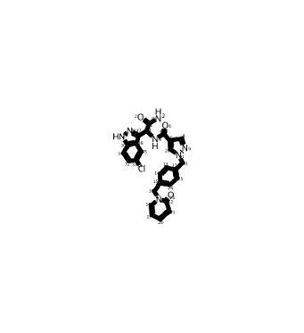 NC(=O)C(NC(=O)c1cnn(Cc2ccc(Cn3ccccc3=O)cc2)c1)c1n[nH]c2ccc(Cl)cc12